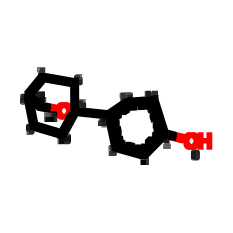 Oc1ccc(C23CCC(CC2)CO3)cc1